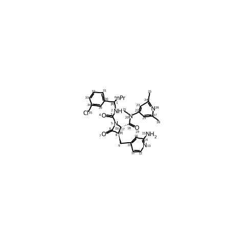 CCC[C@@H](NC(=O)N1C(=O)[C@H](Cc2ccnc(N)c2)[C@H]1C(=O)N(C)c1cc(C)nc(C)c1)c1cccc(Cl)c1